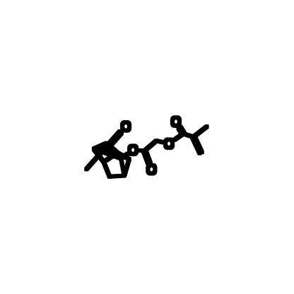 C=C(C)C(=O)OCC(=O)OC1C2CC3C4(C2)CC13OC4=O